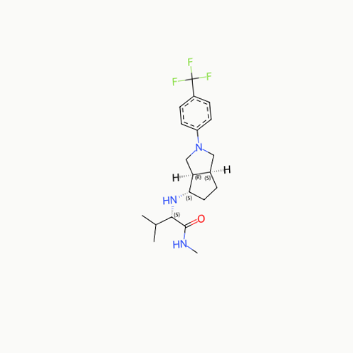 CNC(=O)[C@@H](N[C@H]1CC[C@@H]2CN(c3ccc(C(F)(F)F)cc3)C[C@@H]21)C(C)C